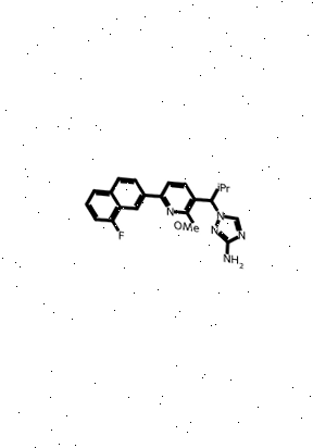 COc1nc(-c2ccc3cccc(F)c3c2)ccc1C(C(C)C)n1cnc(N)n1